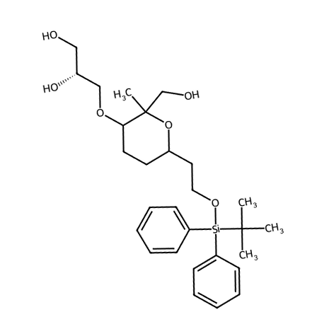 CC1(CO)OC(CCO[Si](c2ccccc2)(c2ccccc2)C(C)(C)C)CCC1OC[C@H](O)CO